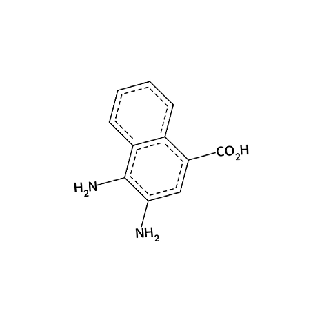 Nc1cc(C(=O)O)c2ccccc2c1N